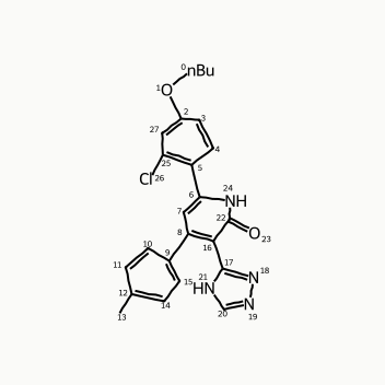 CCCCOc1ccc(-c2cc(-c3ccc(C)cc3)c(-c3nnc[nH]3)c(=O)[nH]2)c(Cl)c1